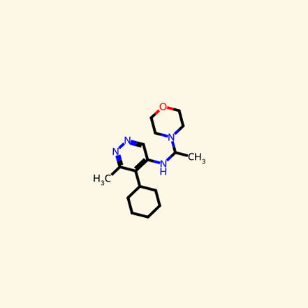 Cc1nncc(NC(C)N2CCOCC2)c1C1CCCCC1